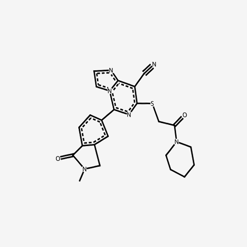 CN1Cc2cc(-c3nc(SCC(=O)N4CCCCC4)c(C#N)c4nccn34)ccc2C1=O